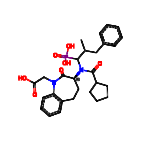 CC(Cc1ccccc1)C(N(C(=O)C1CCCC1)[C@H]1CCc2ccccc2N(CC(=O)O)C1=O)P(=O)(O)O